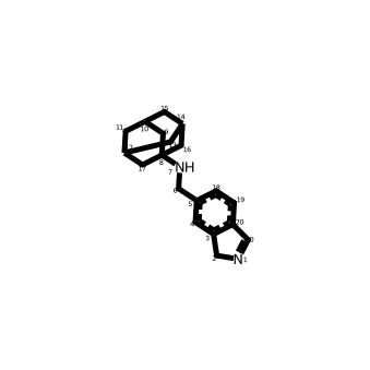 C1=NCc2cc(CNC34CC5CC(CC(C5)C3)C4)ccc21